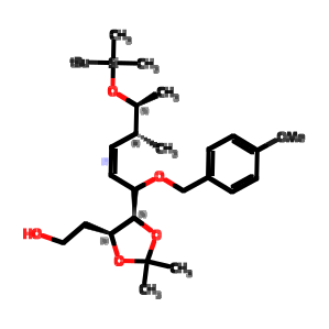 COc1ccc(COC(/C=C\[C@@H](C)[C@H](C)O[Si](C)(C)C(C)(C)C)[C@H]2OC(C)(C)O[C@H]2CCO)cc1